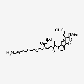 CNC(=O)C(CCC=O)N1Cc2c(NC(=O)CCN(CCOCCOCCOCCN)C(=O)OC(C)(C)C)cccc2C1=O